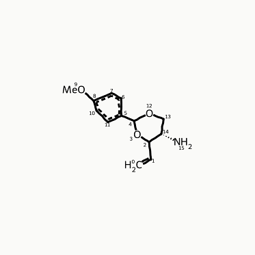 C=CC1OC(c2ccc(OC)cc2)OC[C@@H]1N